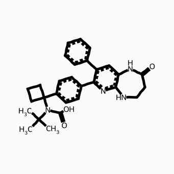 CC(C)(C)N(C(=O)O)C1(c2ccc(-c3nc4c(cc3-c3ccccc3)NC(=O)CCN4)cc2)CCC1